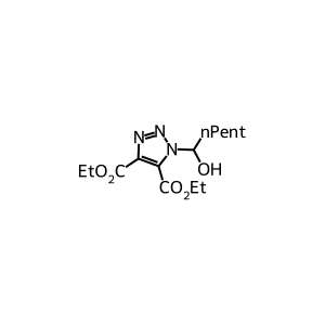 CCCCCC(O)n1nnc(C(=O)OCC)c1C(=O)OCC